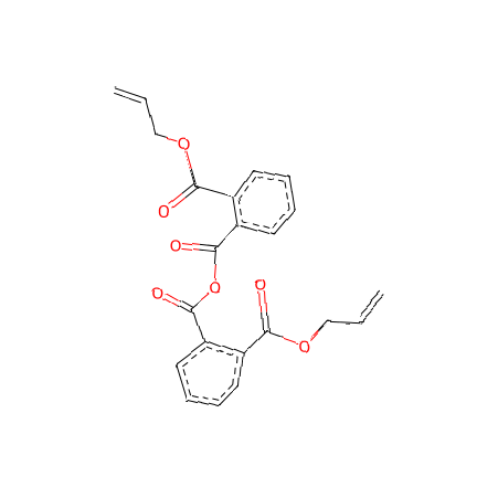 C=CCOC(=O)c1ccccc1C(=O)OC(=O)c1ccccc1C(=O)OCC=C